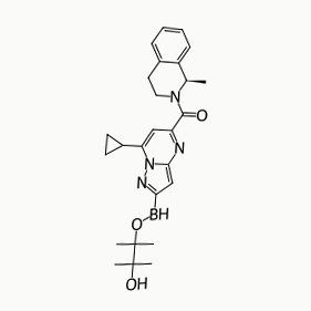 C[C@@H]1c2ccccc2CCN1C(=O)c1cc(C2CC2)n2nc(BOC(C)(C)C(C)(C)O)cc2n1